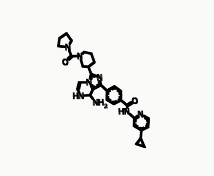 NC1NC=Cn2c(C3CCCN(C(=O)N4CCCC4)C3)nc(-c3ccc(C(=O)Nc4cc(C5CC5)ccn4)cc3)c21